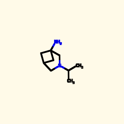 CC(C)N1CC2CC(N)(C2)C1